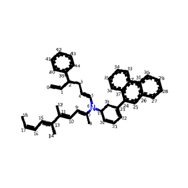 C=CC(C/C=C/N(/C(C)=C/C=C(C)/C(C)=C/C=C\C)C1C=CC=C(c2cc3ccccc3c3ccccc23)C1)c1ccccc1